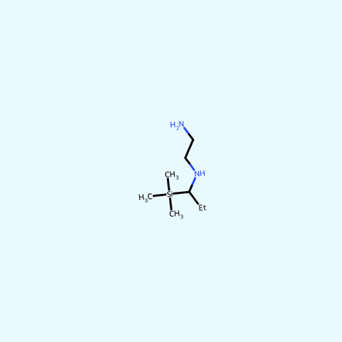 CCC(NCCN)[Si](C)(C)C